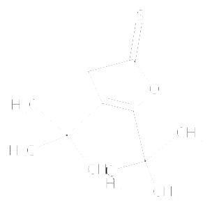 CC(C)(C)C1=C(C(C)(C)C)OC(=S)C1